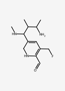 CNC(C1=CC(CF)=C(C=O)NC1)C(C)C(C)N